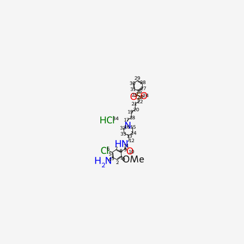 COc1cc(N)c(Cl)cc1C(=O)NCC1CCN(CCCCCCS(=O)(=O)c2ccccc2)CC1.Cl